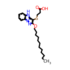 CCCCCCCCCCCCOc1nn2c([nH]c3ccccc32)c1SCCC(=O)O